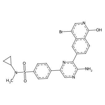 CN(C1CC1)S(=O)(=O)c1ccc(-c2cnc(N)c(-c3ccc4c(O)ncc(Br)c4c3)n2)cc1